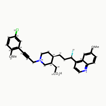 COc1ccc2nccc([C@H](F)CC[C@@H]3CCN(CC#Cc4cc(Cl)ccc4OC)C[C@@H]3CC(=O)O)c2c1